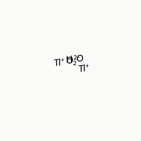 O.[O-2].[Tl+].[Tl+]